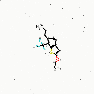 CCCc1ccc2cc(OCC)sc2c1C(F)(F)F